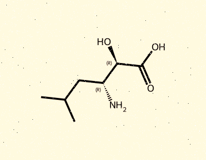 CC(C)C[C@@H](N)[C@@H](O)C(=O)O